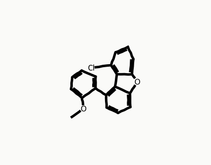 COc1ccccc1-c1cccc2oc3cccc(Cl)c3c12